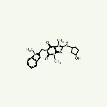 Cn1c(Cn2c(=O)c3c(nc(NC4CCC(O)C4)n3C)n(C)c2=O)cc2ccccc21